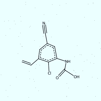 C=Cc1cc(C#N)cc(NC(=O)O)c1Cl